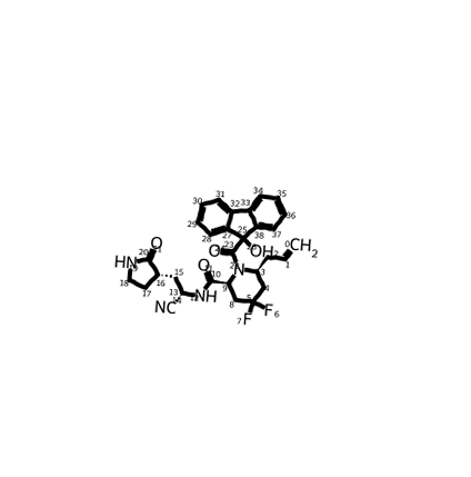 C=CC[C@H]1CC(F)(F)C[C@@H](C(=O)N[C@H](C#N)C[C@@H]2CCNC2=O)N1C(=O)C1(O)c2ccccc2-c2ccccc21